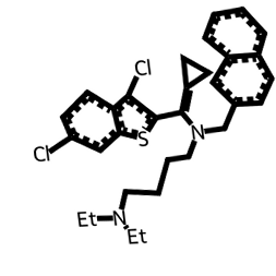 CCN(CC)CCCCN(Cc1ccc2ccccc2c1)C(=C1CC1)c1sc2cc(Cl)ccc2c1Cl